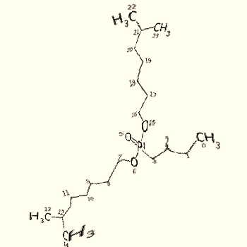 CCCCP(=O)(OCCCCCC(C)C)OCCCCCC(C)C